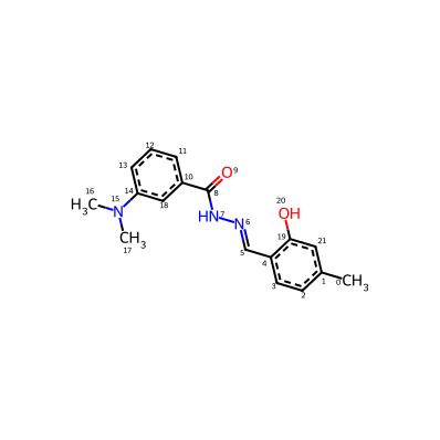 Cc1ccc(/C=N/NC(=O)c2cccc(N(C)C)c2)c(O)c1